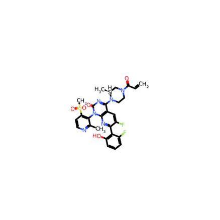 C=CC(=O)N1CCN(c2nc(=O)n(-c3c(S(C)(=O)=O)ccnc3C)c3nc(-c4c(O)cccc4F)c(F)cc23)[Si@@H](C)C1